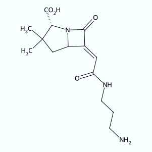 CC1(C)CC2/C(=C\C(=O)NCCCN)C(=O)N2[C@H]1C(=O)O